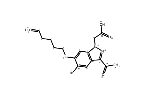 C=CCCCCOc1cc2c(cc1Br)c(C(C)=O)nn2CC(=O)O